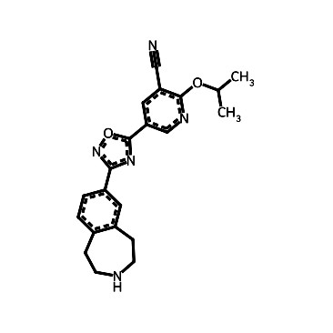 CC(C)Oc1ncc(-c2nc(-c3ccc4c(c3)CCNCC4)no2)cc1C#N